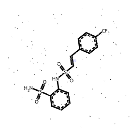 NS(=O)(=O)c1ccccc1NS(=O)(=O)/C=C/c1ccc(C(F)(F)F)cc1